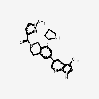 Cc1c[nH]c2ncc(-c3cc4c(c([C@@H]5CCCN5)c3)CN(C(=O)c3ccn(C)n3)CC4)cc12